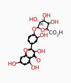 O=C(O)[C@H]1OC(Oc2ccc(-c3oc4cc(O)cc(O)c4c(=O)c3O)cc2O)[C@H](O)[C@@H](O)[C@@H]1O